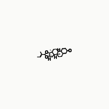 C/C=C(\C)C1O[C@@H]2C[C@H]3C4(C)CCC5=CC(=O)C=C[C@]5(C)[C@H]4CC[C@]3(C)[C@]2(C)O1